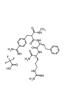 CNC(=O)C(Cc1ccc(C(=N)N)cc1)C(=O)N[C@@H](CCc1ccccc1)C(=O)N[C@@H](CCCNC(=N)N)C(N)=O.O=C(O)C(F)(F)F